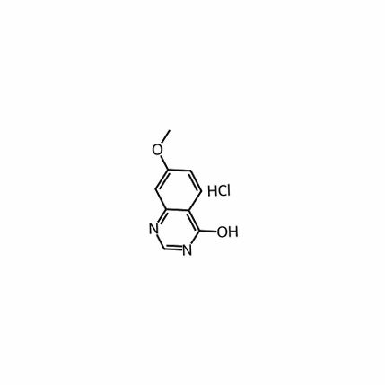 COc1ccc2c(O)ncnc2c1.Cl